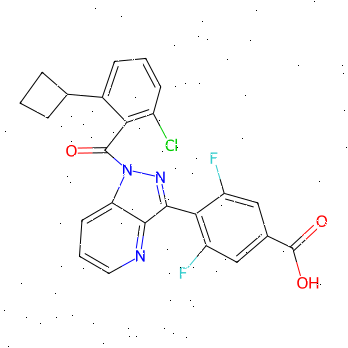 O=C(O)c1cc(F)c(-c2nn(C(=O)c3c(Cl)cccc3C3CCC3)c3cccnc23)c(F)c1